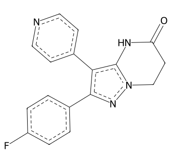 O=C1CCn2nc(-c3ccc(F)cc3)c(-c3ccncc3)c2N1